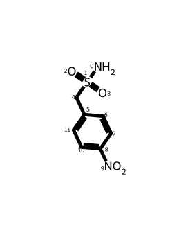 NS(=O)(=O)Cc1ccc([N+](=O)[O-])cc1